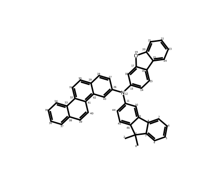 CC1(C)c2ccccc2-c2cc(N(c3ccc4c(c3)oc3ccccc34)c3ccc4ccc5c6ccccc6ccc5c4c3)ccc21